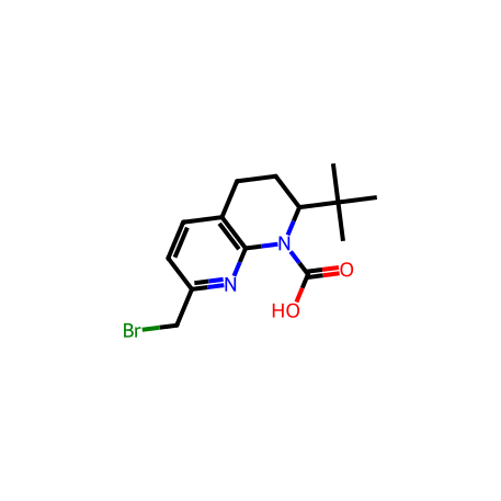 CC(C)(C)C1CCc2ccc(CBr)nc2N1C(=O)O